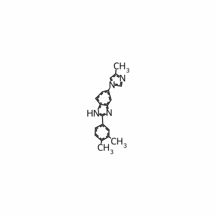 Cc1cn(-c2ccc3[nH]c(-c4ccc(C)c(C)c4)nc3c2)cn1